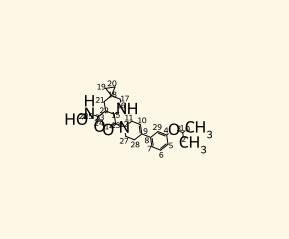 CC(C)Oc1cccc(C2=CCN(C(=O)C3NCC4(CC4)CC3C(=O)NO)CC2)c1